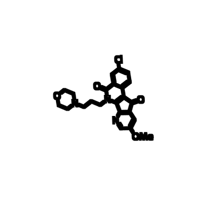 COc1cnc2c(c1)C(=O)c1c-2n(CCCN2CCOCC2)c(=O)c2cc(Cl)ccc12